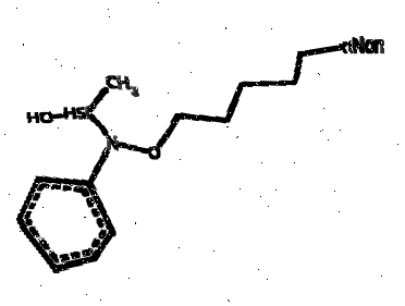 CCCCCCCCCCCCCCON(c1ccccc1)[SiH](C)O